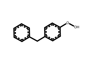 OOc1ccc(Cc2ccccc2)cc1